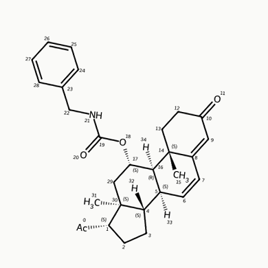 CC(=O)[C@H]1CC[C@H]2[C@@H]3C=CC4=CC(=O)CC[C@@]4(C)[C@@H]3[C@@H](OC(=O)NCc3ccccc3)C[C@]12C